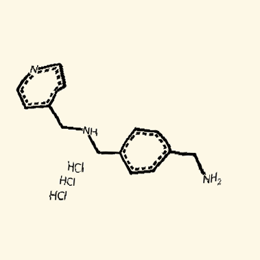 Cl.Cl.Cl.NCc1ccc(CNCc2ccncc2)cc1